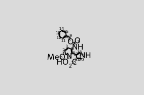 COc1ccc(NC(=O)OCc2ccccc2)c(-c2c[nH]cc2C(=O)O)n1